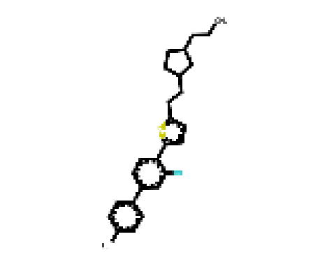 CCCC1CCC(CCc2ccc(-c3ccc(-c4ccc(C)cc4)cc3F)s2)C1